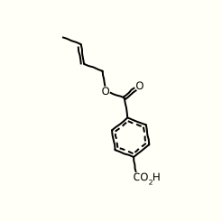 CC=CCOC(=O)c1ccc(C(=O)O)cc1